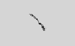 COc1ccc2nc(-c3ccc(N4CC(OCCCN5CCN(c6ccc7c(c6)C(=O)N(C6CCC(=O)NC6=O)C7=O)CC5)C4)cc3)sc2c1